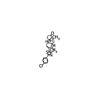 C[C@]12CCc3nc(-c4ccc(Cl)cc4)sc3C1=CC[C@@H]1[C@@H]2CC[C@]2(C)C(=O)CC[C@@H]12